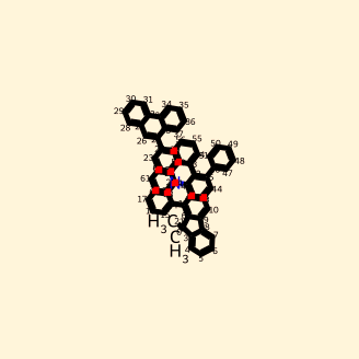 CC1(C)c2ccccc2-c2cccc(-c3ccccc3N(c3ccc(-c4cc5ccccc5c5ccccc45)cc3)c3cccc(-c4ccccc4)c3-c3ccccc3-c3ccccc3)c21